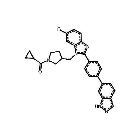 O=C(C1CC1)N1CC[C@@H](Cn2c(-c3ccc(-c4ccc5cn[nH]c5c4)cc3)nc3ccc(F)cc32)C1